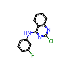 Fc1cccc(Nc2nc(Cl)nc3ccccc23)c1